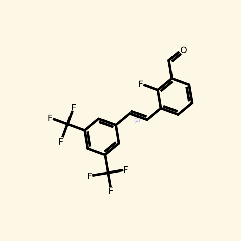 O=Cc1cccc(/C=C/c2cc(C(F)(F)F)cc(C(F)(F)F)c2)c1F